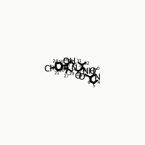 COc1ncccc1C(=O)N[C@@H](C(=O)N1CC[C@](O)(c2ccc(Cl)cc2)C(C)(C)C1)C(C)C